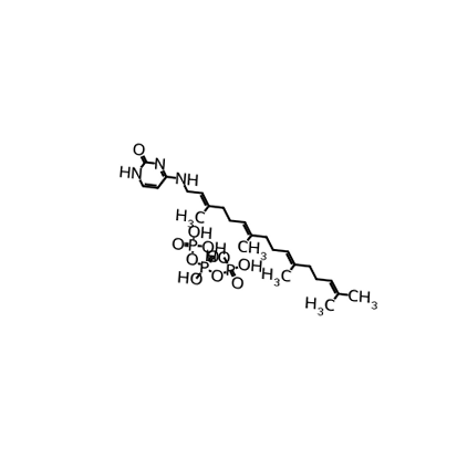 CC(C)=CCC/C(C)=C/CC/C(C)=C/CC/C(C)=C/CNc1cc[nH]c(=O)n1.O=P(O)(O)OP(=O)(O)OP(=O)(O)O